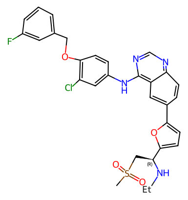 CCN[C@@H](CS(C)(=O)=O)c1ccc(-c2ccc3ncnc(Nc4ccc(OCc5cccc(F)c5)c(Cl)c4)c3c2)o1